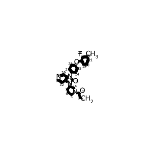 C=CC(=O)N1CCCC(n2c(=O)n(-c3ccc(Oc4cccc(C)c4F)cc3)c3cnccc32)C1